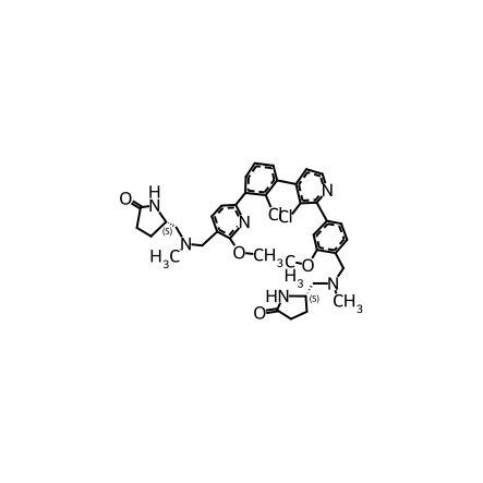 COc1cc(-c2nccc(-c3cccc(-c4ccc(CN(C)C[C@@H]5CCC(=O)N5)c(OC)n4)c3Cl)c2Cl)ccc1CN(C)C[C@@H]1CCC(=O)N1